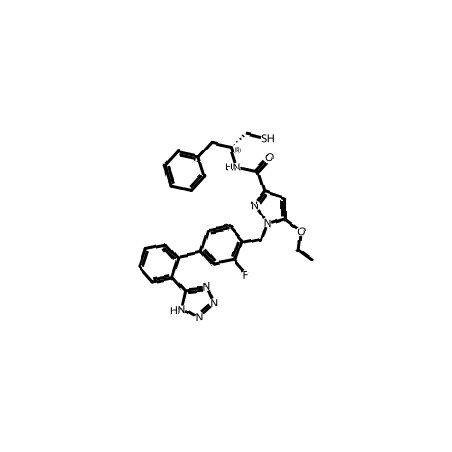 CCOc1cc(C(=O)N[C@@H](CS)Cc2ccccc2)nn1Cc1ccc(-c2ccccc2-c2nnn[nH]2)cc1F